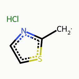 Cl.[CH2]c1nccs1